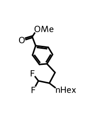 CCCCCCC(Cc1ccc(C(=O)OC)cc1)C(F)F